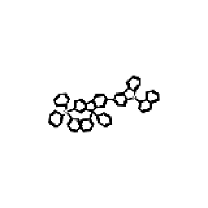 c1ccc(C2(c3ccccc3)c3cc(-c4ccc5c(c4)c4ccccc4n5-c4cccc5ccccc45)ccc3-c3ccc([Si](c4ccccc4)(c4ccccc4)c4ccccc4)cc32)cc1